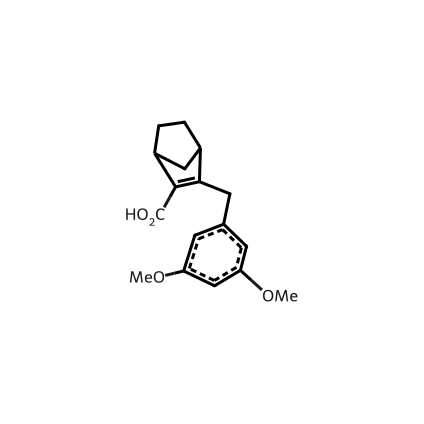 COc1cc(CC2=C(C(=O)O)C3CCC2C3)cc(OC)c1